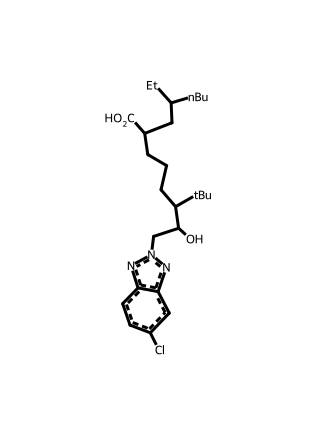 CCCCC(CC)CC(CCCC(C(O)Cn1nc2ccc(Cl)cc2n1)C(C)(C)C)C(=O)O